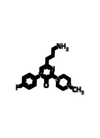 CN1CCN(c2nc(CCCN)cn(-c3ccc(F)cc3)c2=O)CC1